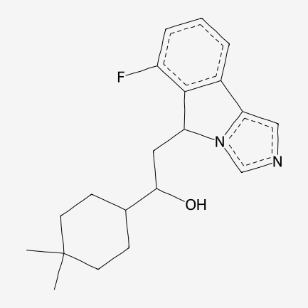 CC1(C)CCC(C(O)CC2c3c(F)cccc3-c3cncn32)CC1